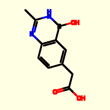 CC1=Nc2ccc(CC(=O)O)cc2B(O)N1